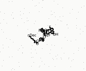 C#Cc1c(F)ccc2cc(O)cc(-c3nc(OC)c4c(N5CC6CCC(C5)N6)nc(OC[C@]56CCCN5[C@@H](COC(=O)N(C)CCCCCCCCCCCCCCCC)CC6)nc4c3F)c12